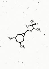 CCC(C)(C)C(C)OCC1C2CC(C)CC(C)CC12